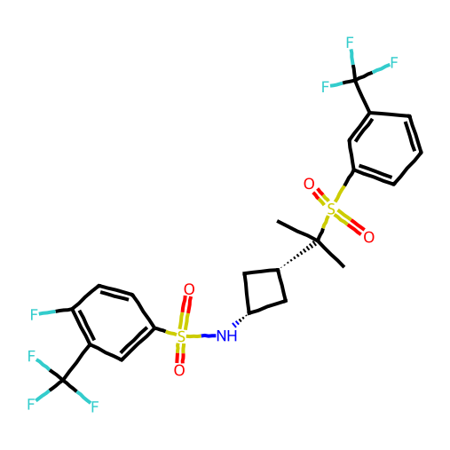 CC(C)([C@H]1C[C@@H](NS(=O)(=O)c2ccc(F)c(C(F)(F)F)c2)C1)S(=O)(=O)c1cccc(C(F)(F)F)c1